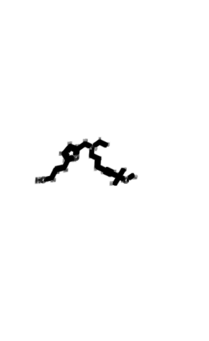 CCN(CC=CC#CC(C)(C)OC)Cc1ccc(C=CCO)o1